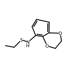 CCSNc1cccc2c1OCCO2